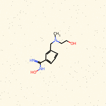 CN(CCO)Cc1cccc(C(=N)NO)c1